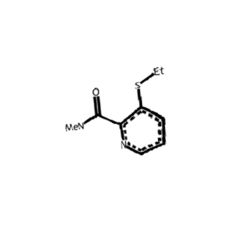 CCSc1cccnc1C(=O)NC